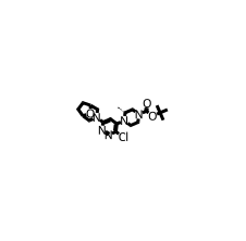 C[C@@H]1CN(C(=O)OC(C)(C)C)CCN1c1cc(N2CC3CCC(C2)O3)nnc1Cl